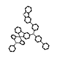 c1ccc(-c2ccc(N(c3cccc(-c4ccc5sc6ccccc6c5c4)c3)c3ccc4c(c3)-c3ccccc3C43c4ccccc4N(c4ccccc4)c4ccccc43)cc2)cc1